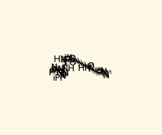 CC(C)n1cnc2c(NCCc3c[nH]c4ccc(OC(=O)CCCCCCCNC(=O)CCCc5ccc(N=[N+]=[N-])cc5)cc34)nc(-c3cncc(F)c3)nc21